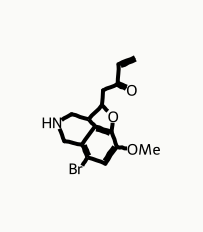 C=CC(=O)CC1Oc2c(OC)cc(Br)c3c2C1CNC3